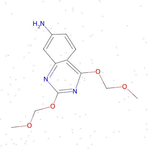 COCOc1nc(OCOC)c2ccc(N)cc2n1